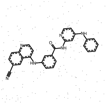 N#Cc1ccc2nccc(Nc3cccc(C(=O)Nc4cc(Nc5ccccc5)ccn4)c3)c2c1